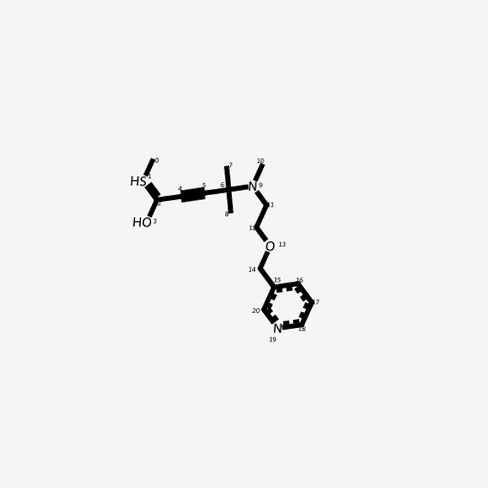 C[SH]=C(O)C#CC(C)(C)N(C)CCOCc1cccnc1